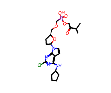 CC(C)C(=O)COP(=O)(O)COC[C@@H]1CC[C@H](n2ccc3c(NC4CCCC4)nc(Cl)nc32)O1